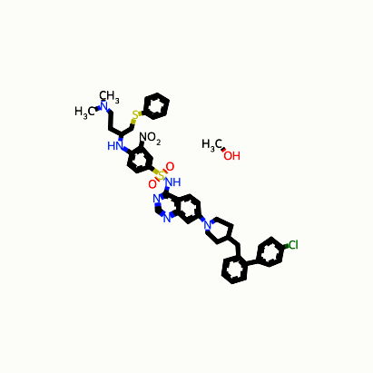 CN(C)CCC(CSc1ccccc1)Nc1ccc(S(=O)(=O)Nc2ncnc3cc(N4CCC(Cc5ccccc5-c5ccc(Cl)cc5)CC4)ccc23)cc1[N+](=O)[O-].CO